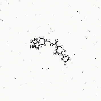 O=C(OCN1CCC2(F)C(=O)NN=C2C1)C1=CNC(c2nccs2)=NC1